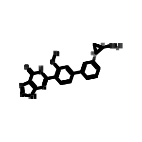 CCOc1cc(-c2cccc([C@@H]3C[C@H]3C(=O)O)c2)ccc1-c1nc2[nH]nnc2c(=O)[nH]1